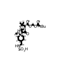 C=N[N+]1([C@@H]2C(=O)N3[C@@H]2SC(C)(C)[C@@H]3C(=O)OCOC(=O)C(C)(C)C)CCC(CNS(=O)(=O)O)CC1